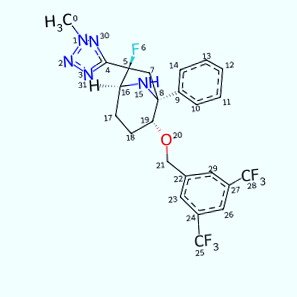 Cn1nnc([C@]2(F)C[C@]3(c4ccccc4)N[C@H]2CC[C@H]3OCc2cc(C(F)(F)F)cc(C(F)(F)F)c2)n1